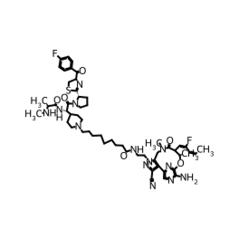 C/C=C\C(F)=C/C1C(=O)N(C)Cc2c(c(C#N)nn2CCNC(=O)CCCCCCCCN2CCC([C@H](NC(=O)[C@H](C)NC)C(=O)N3CCC[C@H]3C3=NC(C(=O)c4ccc(F)cc4)CS3)CC2)-c2cnc(N)c(n2)O[C@@H]1C